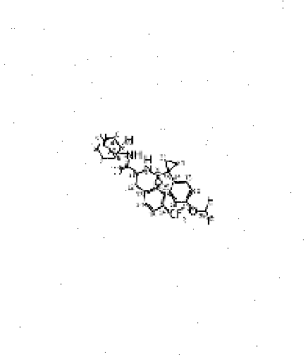 O=C(N[C@@H]1CN2CCC1CC2)[C@H](Cc1ccc(C(F)(F)F)cc1)NC(=O)C1(c2ccc(OC(F)F)cc2)CC1